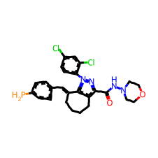 O=C(NN1CCOCC1)c1nn(-c2ccc(Cl)cc2Cl)c2c1CCCC/C2=C\c1ccc(P)cc1